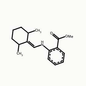 COC(=O)c1ccccc1NC=C1C(C)CCCC1C